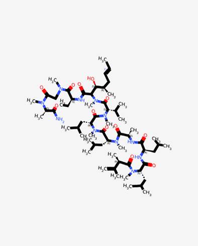 C=C(C)[C@@H](C)C(=O)N(C)[C@@H](CC(C)C)C(=O)N[C@H](CC(C)C)C(=O)N[C@@H](C)C(=O)N(C)[C@H](CC(C)C)C(=O)N(C)[C@H](CC(C)C)C(=O)N(C)[C@H](C(=O)N(C)C(C(=O)N[C@@H](CC)C(=O)N(C)CC(=O)N(C)[C@@H](C)C(N)=O)[C@@H](O)[C@H](C)C/C=C/C)C(C)C